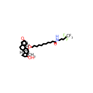 C[C@]12CCC(=O)CC1CC[C@@H]1[C@H]2C(OCCCCCCCCCCC(=O)NCCCC(F)(F)C(F)(F)F)C[C@]2(C)C(O)CC[C@@H]12